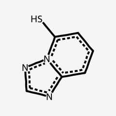 Sc1cccc2ncnn12